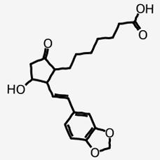 O=C(O)CCCCCCC1C(=O)CC(O)C1/C=C/c1ccc2c(c1)OCO2